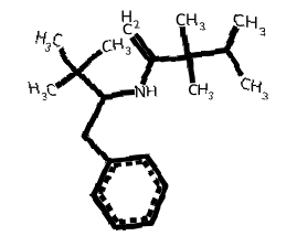 C=C(NC(Cc1ccccc1)C(C)(C)C)C(C)(C)C(C)C